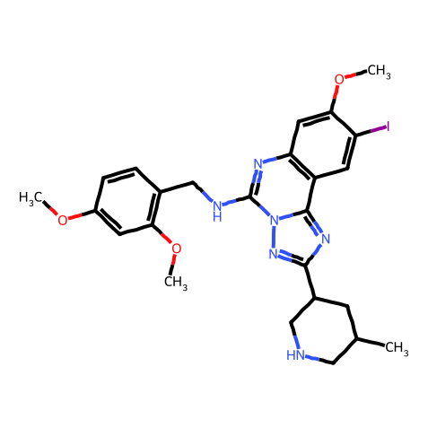 COc1ccc(CNc2nc3cc(OC)c(I)cc3c3nc(C4CNCC(C)C4)nn23)c(OC)c1